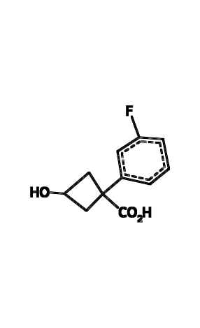 O=C(O)C1(c2cccc(F)c2)CC(O)C1